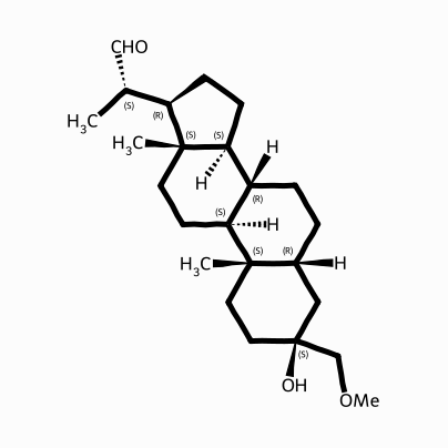 COC[C@]1(O)CC[C@@]2(C)[C@H](CC[C@@H]3[C@@H]2CC[C@]2(C)[C@@H]([C@H](C)C=O)CC[C@@H]32)C1